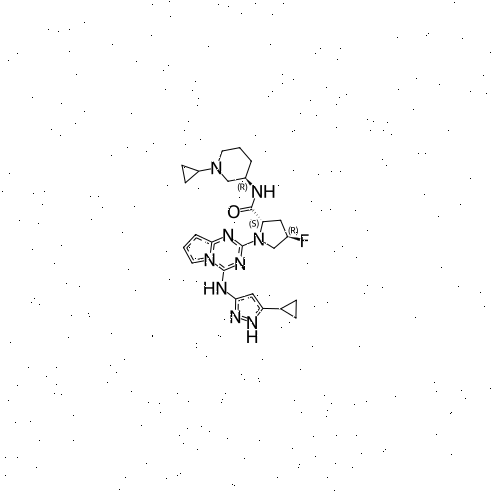 O=C(N[C@@H]1CCCN(C2CC2)C1)[C@@H]1C[C@@H](F)CN1c1nc(Nc2cc(C3CC3)[nH]n2)n2cccc2n1